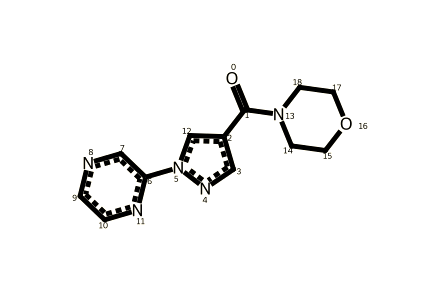 O=C(c1cnn(-c2cnccn2)c1)N1CCOCC1